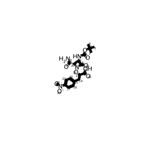 CC(C)(C)OC(=O)N[C@@H]1C(=O)N(OC(Cc2ccc([N+](=O)[O-])cc2)C(=O)O)[C@@H]1C(N)=O